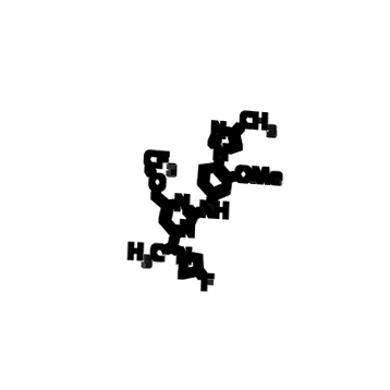 COc1cc(Nc2nc(COCC(F)(F)F)cc(C(C)N3CC(F)C3)n2)ccc1-n1cnc(C)c1